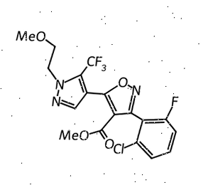 COCCn1ncc(-c2onc(-c3c(F)cccc3Cl)c2C(=O)OC)c1C(F)(F)F